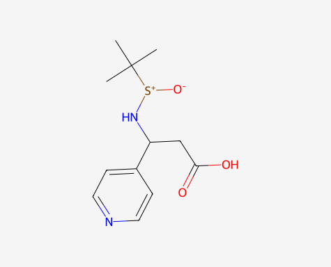 CC(C)(C)[S+]([O-])NC(CC(=O)O)c1ccncc1